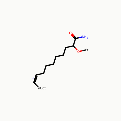 CCCCCCCC/C=C\CCCCCCC(OCC)C(N)=O